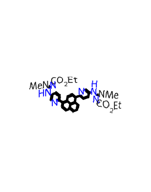 CCOC(=O)N=C(NC)Nc1ccc(-c2ccc3cccc4c3c2C=CC4c2ccc(NC(=NC(=O)OCC)NC)cn2)nc1